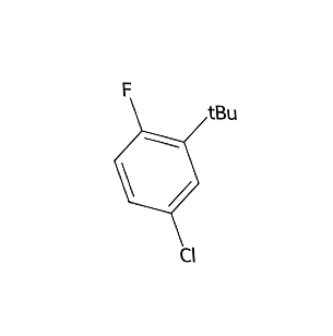 CC(C)(C)c1cc(Cl)ccc1F